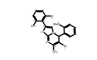 COc1ccccc1C1C(C(C)=O)=C(C)N=C2SC(c3c(Cl)cccc3Cl)=CN21